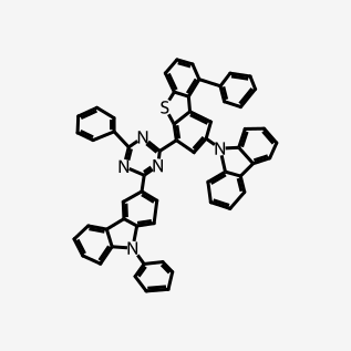 c1ccc(-c2nc(-c3ccc4c(c3)c3ccccc3n4-c3ccccc3)nc(-c3cc(-n4c5ccccc5c5ccccc54)cc4c3sc3cccc(-c5ccccc5)c34)n2)cc1